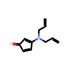 C=CCN(CC=C)C1=CC(=O)C=C1